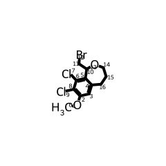 COc1cc2c(c(Cl)c1Cl)C(CBr)OCCC2